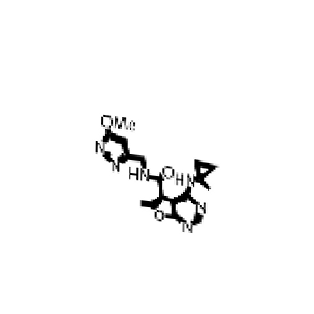 COc1cc(CNC(=O)c2c(C)oc3ncnc(NC4(C)CC4)c23)ncn1